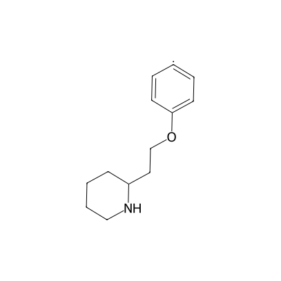 [c]1ccc(OCCC2CCCCN2)cc1